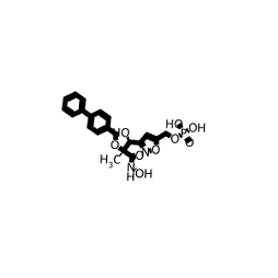 C[C@@](OCc1ccc(-c2ccccc2)cc1)(C(=O)NO)[C@@H](O)c1cc(COP(=O)(O)O)on1